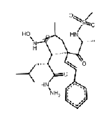 CC(C)C[C@@H](C(=O)NN)[C@H](C(=O)NO)C(/C=C/c1ccccc1)(CC(C)C)C(=O)[C@@H](C)NS(C)(=O)=O